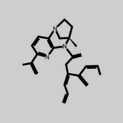 C=C/C=C(/CC(=C)N1c2nc(C(=C)C)ccc2N2CC[C@@]1(C)C2)C(=C)/C=C\C